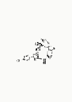 CN1C=NC(C)(c2cc(Nc3nc(-c4ccc(Cl)cc4)cs3)ccc2F)CS1(=O)=O